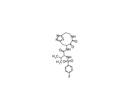 CC(C)C(NS(=O)(=O)c1ccc(F)cc1)C(=O)NC1Cc2nnc(s2)CCNC(=O)C1=O